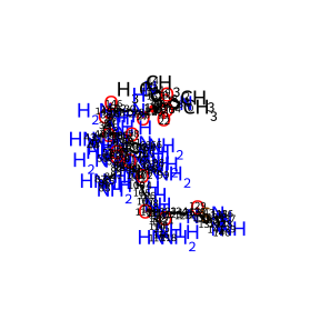 CN(C)c1ccc2c(c1)Oc1cc(N(C)C)ccc1C21OC(=O)c2cc(C(=O)NCCCC[C@@H](NC(=O)[C@@H](CCCNC(=N)N)NC(=O)[C@@H](CCCNC(=N)N)NC(=O)[C@@H](CCCNC(=N)N)NC(=O)[C@@H](CCCNC(=N)N)NC(=O)[C@@H](CCCNC(=N)N)NC(=O)[C@@H](CCCNC(=N)N)NC(=O)CCCCCNC(=O)[C@@H](CCCNC(=N)N)NC(=O)CCCCCNC(=O)c3ccc(-c4ncnc5[nH]cnc45)s3)C(N)=O)ccc21